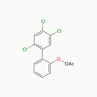 CC(=O)OOc1ccccc1-c1cc(Cl)c(Cl)cc1Cl